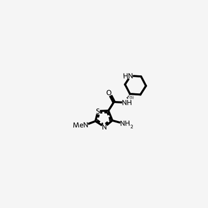 CNc1nc(N)c(C(=O)N[C@H]2CCCNC2)s1